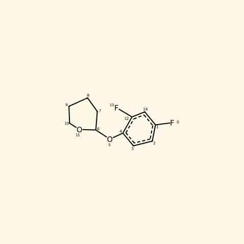 Fc1ccc(OC2CCCCO2)c(F)c1